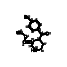 CC(C)(C)OC=O.O=C(c1ccc(Br)cc1)C1CCNCC1